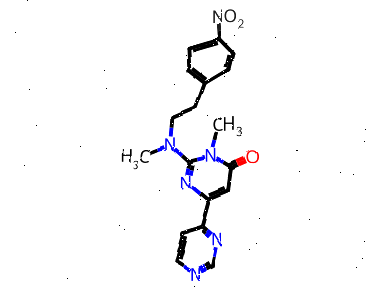 CN(CCc1ccc([N+](=O)[O-])cc1)c1nc(-c2ccncn2)cc(=O)n1C